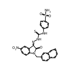 NS(=O)(=O)c1ccc(NC(=S)NN=C2C(=O)N(Cc3ccc4ccccc4c3)c3ccc([N+](=O)[O-])cc32)cc1